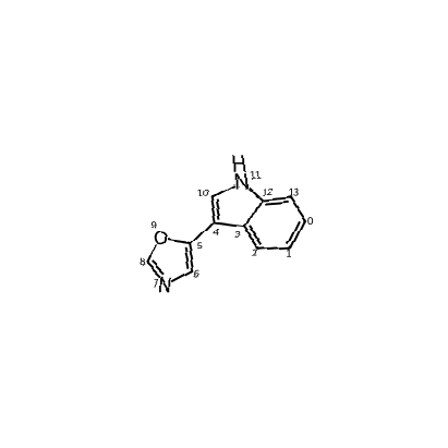 c1ccc2c(-c3cnco3)c[nH]c2c1